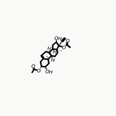 C#C[C@]1(OC(C)=O)[C@H](O)C[C@H]2[C@@H]3CC=C4C[C@@H](OC(C)=O)[C@H](O)C[C@]4(C)[C@H]3CC[C@@]21C